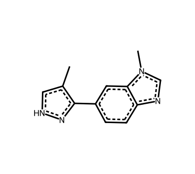 Cc1c[nH]nc1-c1ccc2ncn(C)c2c1